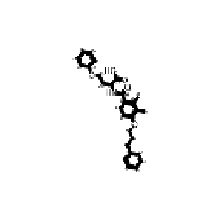 Cc1c(OCCCc2ccccc2)ccc(C(=O)NC(CCOc2ccccc2)C(=O)O)c1C